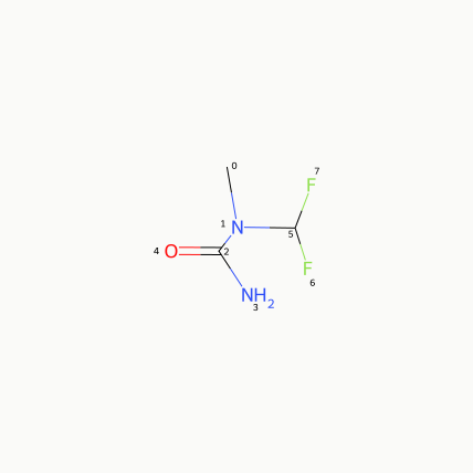 CN(C(N)=O)C(F)F